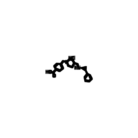 Cl.O=C(O)c1ccc(CN2CCC(CN[C@@H]3C[C@H]3c3ccccc3)CC2)cc1